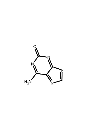 NC1=NC(=O)N=C2N=CN=C12